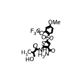 COc1ccc(S(=O)(=O)c2cc(C(N)=O)c(NC(=O)C(C)CO)s2)c(OC(F)(F)F)c1